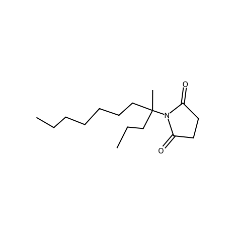 CCCCCCCC(C)(CCC)N1C(=O)CCC1=O